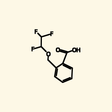 O=C(O)c1ccccc1COC(F)C(F)F